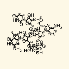 COCCOC1C(OP(=O)(O)OC[C@H]2O[C@@H](n3ccc(=O)[nH]c3=O)C(O)C2O)[C@@H](COP(=O)(OC)OP(=O)(O)OP(=O)(O)OC[C@H]2O[C@@H](n3c[n+](C)c4c(=O)[nH]c(N)nc43)C(O)C2O)O[C@H]1n1cnc2c(N)ncnc21